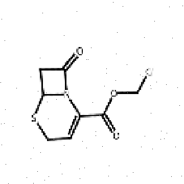 O=C(OCCl)C1=CCSC2CC(=O)N12